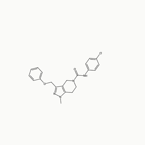 Cn1nc(COc2ccccc2)c2c1CCN(C(=O)Nc1ccc(Cl)cc1)C2